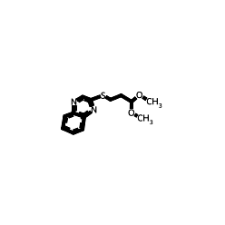 COC(CCSc1cnc2ccccc2n1)OC